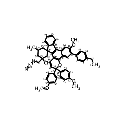 CCc1ccc(-c2cc3c4c(c5c(c3cc2OC)-c2ccccc2C52CC(C)CC(C)(CN=[N+]=[N-])C2)C=CC(c2ccc(OC)cc2)(c2ccc(OC)cc2)O4)cc1